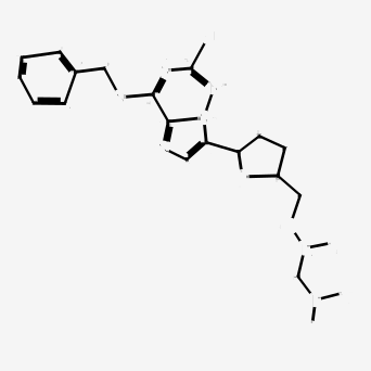 OP(O)CP(O)OCC1CCC(c2cnc3c(NCc4ccccc4)nc(Cl)nn23)O1